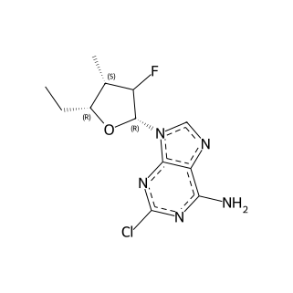 CC[C@H]1O[C@@H](n2cnc3c(N)nc(Cl)nc32)C(F)[C@H]1C